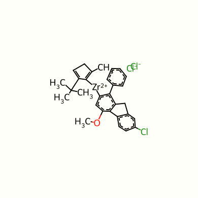 COc1c[c]([Zr+2][C]2=C(C)CC=C2C(C)(C)C)c(-c2ccccc2)c2c1-c1ccc(Cl)cc1C2.[Cl-].[Cl-]